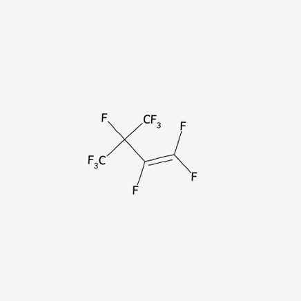 FC(F)=C(F)C(F)(C(F)(F)F)C(F)(F)F